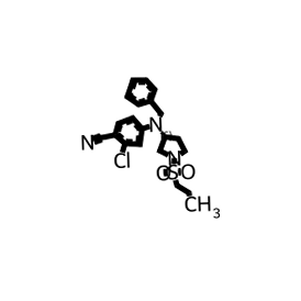 CCCS(=O)(=O)N1CC[C@H](N(Cc2ccccc2)c2ccc(C#N)c(Cl)c2)C1